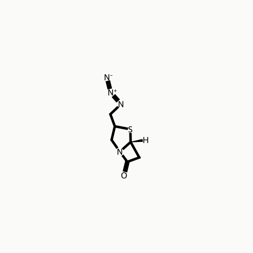 [N-]=[N+]=NCC1CN2C(=O)C[C@H]2S1